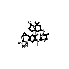 Cn1nnn(-c2cc(Nc3ncc(F)c(N[C@H]4C[C@@H]5CCC(=O)N5C(C)(C)C4)n3)c(F)cc2C2CC2)c1=O